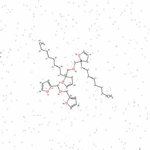 CCCCCCCCC1(COCC2(CCCCCCCC)CC=CO2)CC=CO1.c1coc(COCc2ccco2)c1